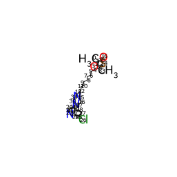 CC1=C(OCCCCCCCCCCN2CCCN(c3ccnc4cc(Cl)ccc34)CC2)C(C)SC1=O